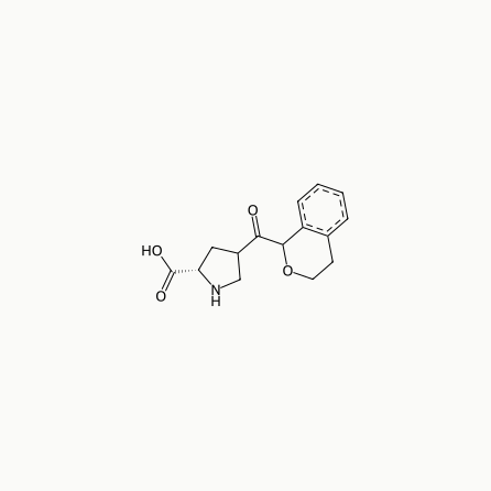 O=C(C1CN[C@H](C(=O)O)C1)C1OCCc2ccccc21